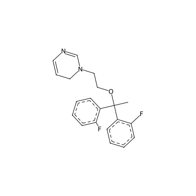 CC(OCCN1C=NC=CC1)(c1ccccc1F)c1ccccc1F